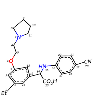 CCc1cc(OCCN2CCCC2)cc(C(Nc2ccc(C#N)cc2)C(=O)O)c1